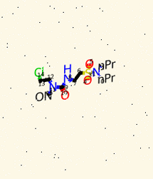 CCCN(CCC)S(=O)(=O)CCNC(=O)N(CCCl)N=O